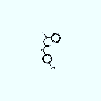 CCN(CC(=O)Nc1ccc(O)cc1)c1ccccc1